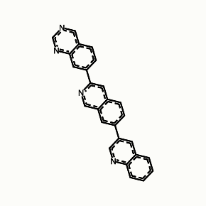 c1ccc2ncc(-c3ccc4cc(-c5ccc6cncnc6c5)ncc4c3)cc2c1